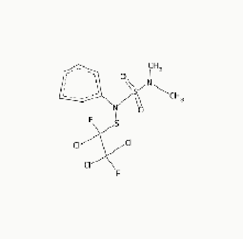 CN(C)S(=O)(=O)N(SC(F)(Cl)C(F)(Cl)Cl)c1ccccc1